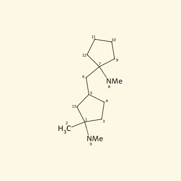 CNC1(C)CCC(CC2(NC)CCCC2)C1